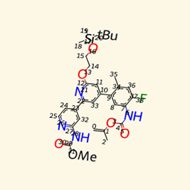 C=C(C)OC(=O)Nc1cc(-c2cc(OCCO[Si](C)(C)C(C)(C)C)nc(-c3ccnc(NC(=O)OC)c3)c2)c(C)cc1F